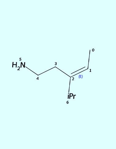 C/C=C(\CCN)C(C)C